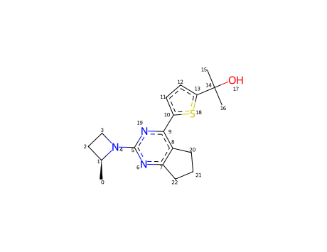 C[C@H]1CCN1c1nc2c(c(-c3ccc(C(C)(C)O)s3)n1)CCC2